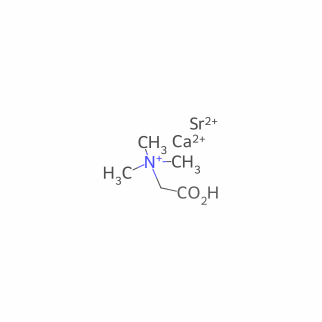 C[N+](C)(C)CC(=O)O.[Ca+2].[Sr+2]